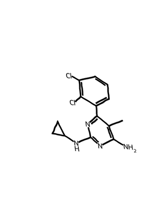 Cc1c(N)nc(NC2CC2)nc1-c1cccc(Cl)c1Cl